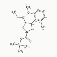 CCOC1CN(C(=O)OC(C)(C)C)CC1c1c(O)cccc1OC